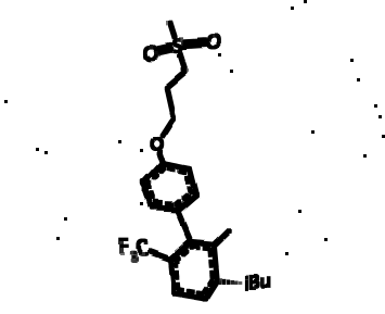 CC[C@@H](C)c1ccc(C(F)(F)F)c(-c2ccc(OCCCS(C)(=O)=O)cc2)c1C